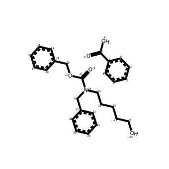 O=C(O)c1ccccc1.O=C(OCc1ccccc1)N(CCCCCO)Cc1ccccc1